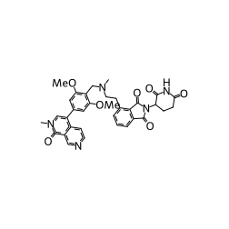 COc1cc(-c2cn(C)c(=O)c3cnccc23)cc(OC)c1CN(C)CCc1cccc2c1C(=O)N(C1CCC(=O)NC1=O)C2=O